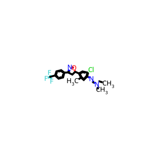 CCN(C)C=Nc1cc(C)c(C2CC(c3ccc(C(F)(F)F)cc3)=NO2)cc1Cl